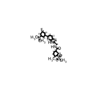 Cc1ccc(C(=O)NCc2nc3ccc(-c4cc(F)cc(N(C)C)c4)nc3[nH]2)cc1S(C)(=O)=O